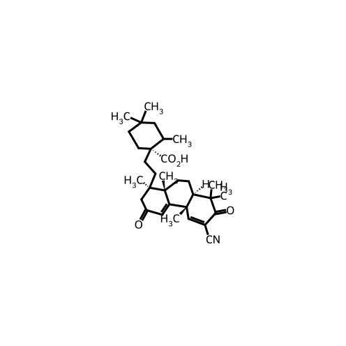 CC1CC(C)(C)CC[C@@]1(CC[C@]1(C)CC(=O)C=C2[C@@]3(C)C=C(C#N)C(=O)C(C)(C)[C@@H]3CC[C@]21C)C(=O)O